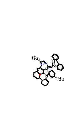 CC(C)(C)C1=C\c2cccc3c2B(C(=C/Nc2ccccc2-c2ccccc2)/C=C\1)c1ccc(C(C)(C)C)cc1N3C1=CCCCC1C1C=CCCC1